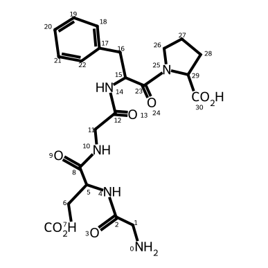 NCC(=O)NC(CC(=O)O)C(=O)NCC(=O)NC(Cc1ccccc1)C(=O)N1CCCC1C(=O)O